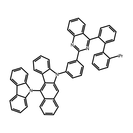 CC(C)c1ccccc1-c1ccccc1-c1nc(-c2cccc(-n3c4ccccc4c4c(-n5c6ccccc6c6ccccc65)c5ccccc5cc43)c2)nc2ccccc12